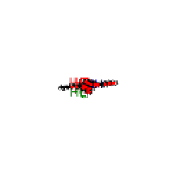 CCCCCCCCCCCCOC(C(C)O)C(C(OCCCCCCCCCCCC)C(C)O)(C(C)(O)NCC)[N+](CC)(CC)CC.Cl.[Cl-]